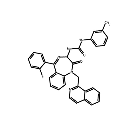 Cc1cccc(NC(=O)NC2N=C(c3ccccc3F)c3ccccc3N(Cc3nccc4ccccc34)C2=O)c1